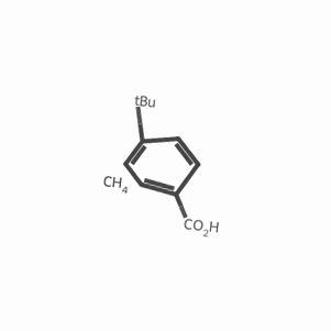 C.CC(C)(C)c1ccc(C(=O)O)cc1